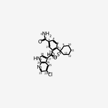 NC(=O)c1ccc(C2(S(=O)(=O)O)CCCCC2)c(C(=O)c2c[nH]c3ncc(Cl)cc23)c1